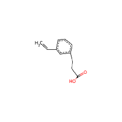 C=Cc1cccc(CCC(=O)O)c1